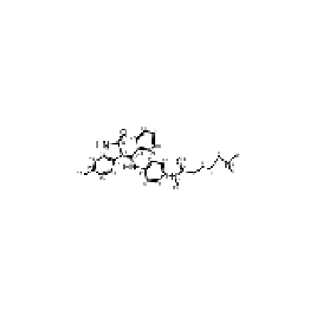 CN(C)CCCCC(=O)N(C)c1ccc(NC(=C2C(=O)Nc3cc(F)ccc32)c2ccccc2)cc1